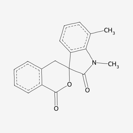 Cc1cccc2c1N(C)C(=O)C21Cc2ccccc2C(=O)O1